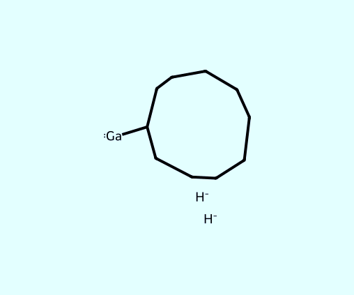 [Ga][CH]1CCCCCCCCC1.[H-].[H-]